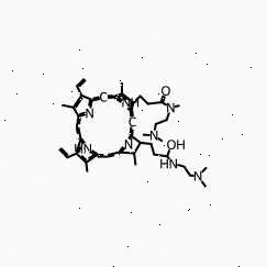 C=CC1=C(C)c2cc3[nH]c(cc4nc(cc5[nH]c(cc1n2)c(C)c5CCC(=O)N(C)CCN(C)C)C(CCC(O)NCCN(C)C)C4C)c(C)c3C=C